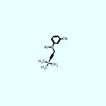 CC(=O)N(CC#C[Si](C)(C)C)c1cccc(C#N)c1